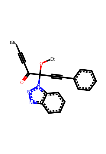 CCOC(C#Cc1ccccc1)(C(=O)C#CC(C)(C)C)n1nnc2ccccc21